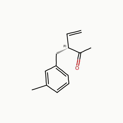 C=C[C@@H](Cc1cccc(C)c1)C(C)=O